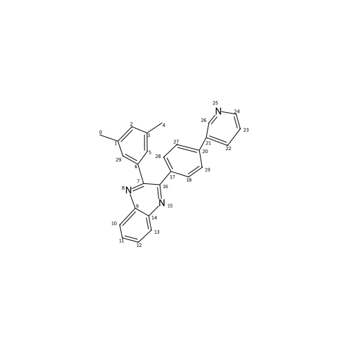 Cc1cc(C)cc(-c2nc3ccccc3nc2-c2ccc(-c3cccnc3)cc2)c1